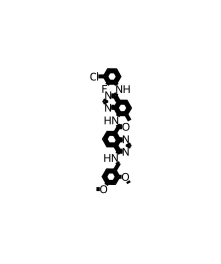 COc1ccc(CNc2ncnc3c(C(=O)Nc4c(C)ccc5c(Nc6cccc(Cl)c6F)ncnc45)cccc23)c(OC)c1